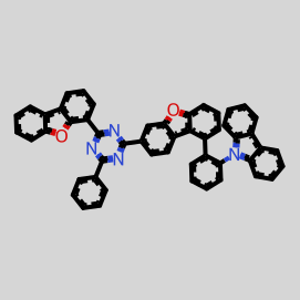 c1ccc(-c2nc(-c3ccc4c(c3)oc3cccc(-c5ccccc5-n5c6ccccc6c6ccccc65)c34)nc(-c3cccc4c3oc3ccccc34)n2)cc1